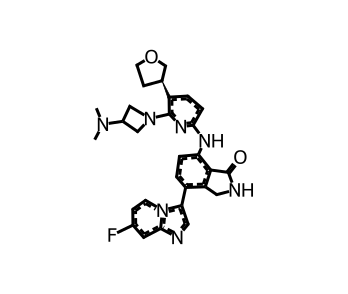 CN(C)C1CN(c2nc(Nc3ccc(-c4cnc5cc(F)ccn45)c4c3C(=O)NC4)ccc2[C@H]2CCOC2)C1